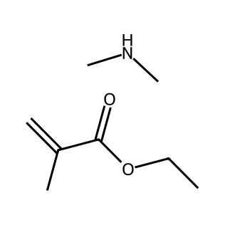 C=C(C)C(=O)OCC.CNC